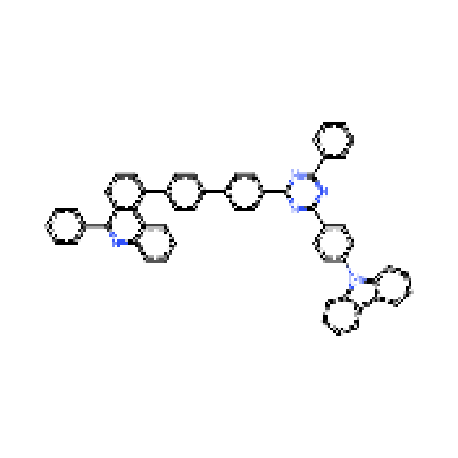 c1ccc(-c2nc(-c3ccc(-c4ccc(-c5cccc6c(-c7ccccc7)nc7ccccc7c56)cc4)cc3)nc(-c3ccc(-n4c5ccccc5c5ccccc54)cc3)n2)cc1